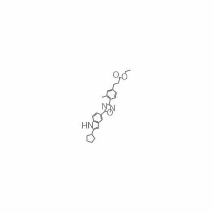 CCOC(=O)CCc1ccc(-c2noc(-c3ccc4[nH]c(C5CCCC5)cc4c3)n2)c(C)c1